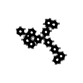 c1ccc(-n2c3cccc(-c4cccc(N(c5ccc(-c6ccc(-c7cccc8ccccc78)cc6)cc5)c5ccc(-c6cccc7ccccc67)cc5)c4)c3c3c4ccccc4ccc32)cc1